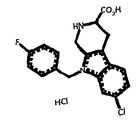 Cl.O=C(O)C1Cc2c(n(Cc3ccc(F)cc3)c3cc(Cl)ccc23)CN1